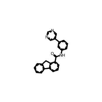 O=C(Nc1cccc(-c2cncnc2)c1)c1cccc2c1Cc1ccccc1-2